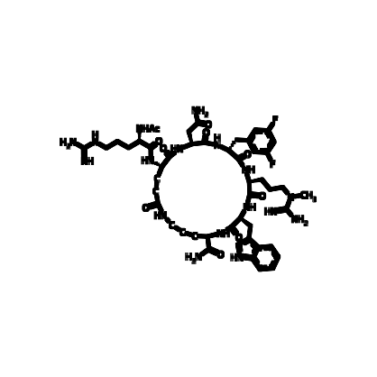 CC(=O)N[C@@H](CCCNC(=N)N)C(=O)N[C@H]1CCC(=O)NCCCC(C(N)=O)NC(=O)[C@H](Cc2c[nH]c3ccccc23)NC(=O)[C@H](CCCN(C)C(=N)N)NC(=O)[C@@H](Cc2cc(F)cc(F)c2)NC(=O)[C@H](CC(N)=O)NC1=O